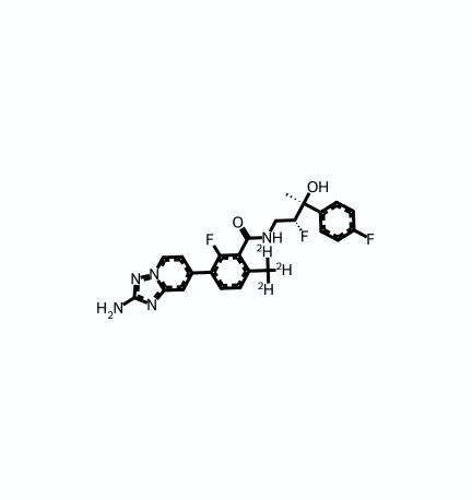 [2H]C([2H])([2H])c1ccc(-c2ccn3nc(N)nc3c2)c(F)c1C(=O)NC[C@@H](F)[C@@](C)(O)c1ccc(F)cc1